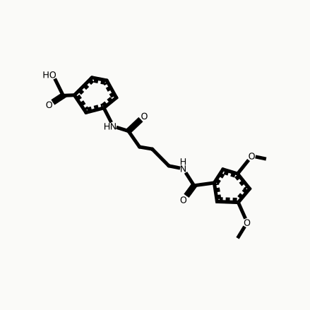 COc1cc(OC)cc(C(=O)NCCCC(=O)Nc2cccc(C(=O)O)c2)c1